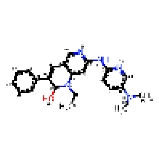 CCN1c2cc(Nc3ccc(N(C)C)cn3)ncc2C=C(c2ccccc2)C1O